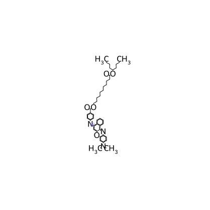 CCCCC(CCCC)OC(=O)CCCCCCCCCCOC(=O)c1ccc(/N=c2/cc3oc4cc(N(C)C)ccc4nc-3c3ccccc23)cc1